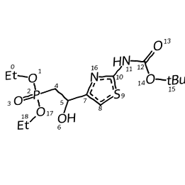 CCOP(=O)(CC(O)c1csc(NC(=O)OC(C)(C)C)n1)OCC